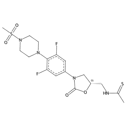 CC(=S)NC[C@H]1CN(c2cc(F)c(N3CCN(S(C)(=O)=O)CC3)c(F)c2)C(=O)O1